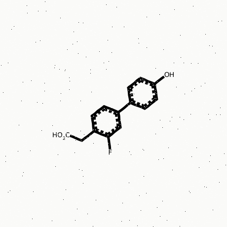 O=C(O)Cc1ccc(-c2ccc(O)cc2)cc1F